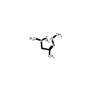 CO/N=C(/C)CN(C)C